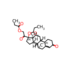 CCC(=O)OCC(=O)[C@@]1(OC(=O)CC)CC[C@H]2[C@@H]3CCC4=CC(=O)CC[C@]4(C)[C@H]3CC[C@@]21C